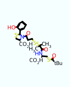 CC(C)(C)C(=O)SC[C@H](NC(=O)C(C)(C)SSCCC(=O)N1C(c2ccccc2O)SC[C@H]1C(=O)O)C(=O)O